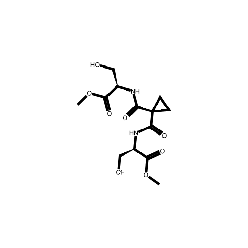 COC(=O)[C@@H](CO)NC(=O)C1(C(=O)N[C@H](CO)C(=O)OC)CC1